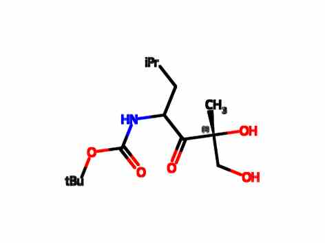 CC(C)CC(NC(=O)OC(C)(C)C)C(=O)[C@](C)(O)CO